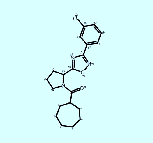 O=C(C1CCCCCC1)N1CCCC1c1nc(-c2cccc(Cl)c2)no1